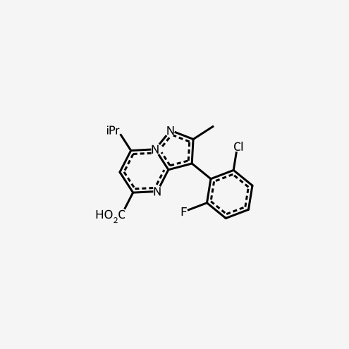 Cc1nn2c(C(C)C)cc(C(=O)O)nc2c1-c1c(F)cccc1Cl